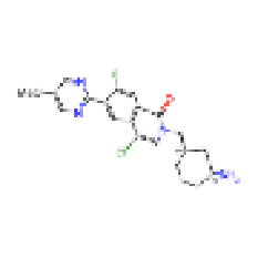 COc1cnc(-c2cc3c(Cl)cn(C[C@@H]4CCC[C@H](N)C4)c(=O)c3cc2F)nc1